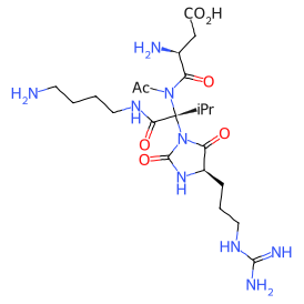 CC(=O)N(C(=O)[C@@H](N)CC(=O)O)[C@](C(=O)NCCCCN)(C(C)C)N1C(=O)N[C@H](CCCNC(=N)N)C1=O